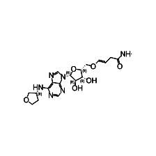 [NH]C(=O)CC=COC[C@H]1O[C@@H](n2cnc3c(N[C@@H]4CCOC4)ncnc32)[C@H](O)[C@H]1O